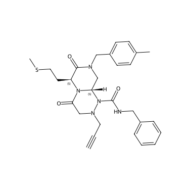 C#CCN1CC(=O)N2[C@@H](CCSC)C(=O)N(Cc3ccc(C)cc3)C[C@@H]2N1C(=O)NCc1ccccc1